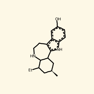 CCC1C[C@H](C)CC2c3[nH]c4ccc(O)cc4c3CCNC12